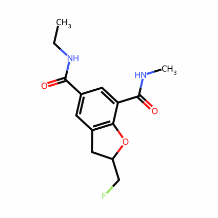 CCNC(=O)c1cc2c(c(C(=O)NC)c1)OC(CF)C2